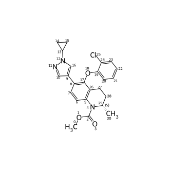 COC(=O)N1c2ccc(-c3cnn(C4CC4)c3)c(Oc3ccccc3Cl)c2CC[C@@H]1C